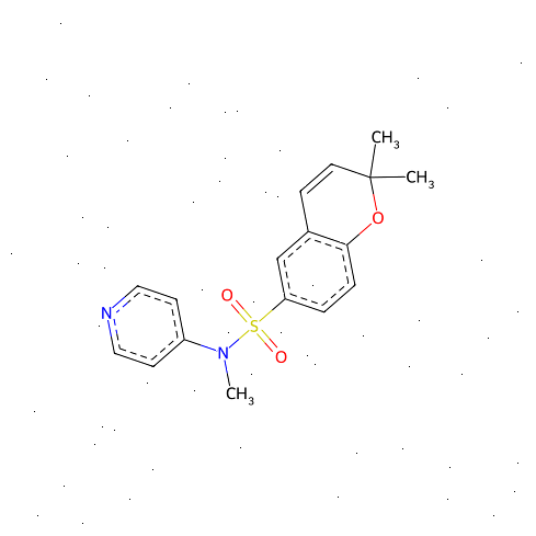 CN(c1ccncc1)S(=O)(=O)c1ccc2c(c1)C=CC(C)(C)O2